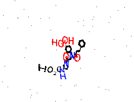 O=C(O)NC1CCN(C(=O)CN(C(=O)C=Cc2ccccc2)c2ccc(B(O)O)cc2)C1